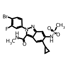 CNC(=O)c1c2cc(C3CC3)c(NS(C)(=O)=O)cc2nn1-c1ccc(Br)c(F)c1